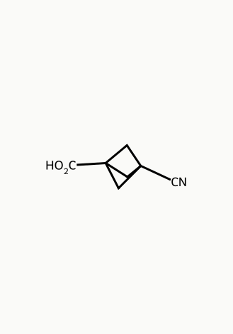 N#CC12CC(C(=O)O)(C1)C2